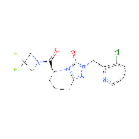 O=C([C@@H]1CCCc2nn(Cc3ncccc3Cl)c(=O)n21)N1CC(F)(F)C1